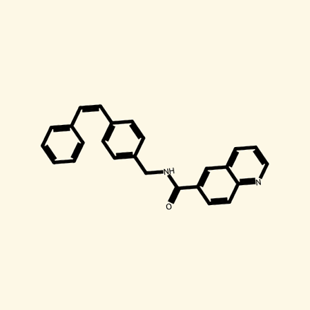 O=C(NCc1ccc(/C=C\c2ccccc2)cc1)c1ccc2ncccc2c1